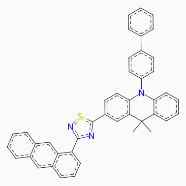 CC1(C)c2ccccc2N(c2ccc(-c3ccccc3)cc2)c2ccc(-c3nc(-c4cccc5cc6ccccc6cc45)ns3)cc21